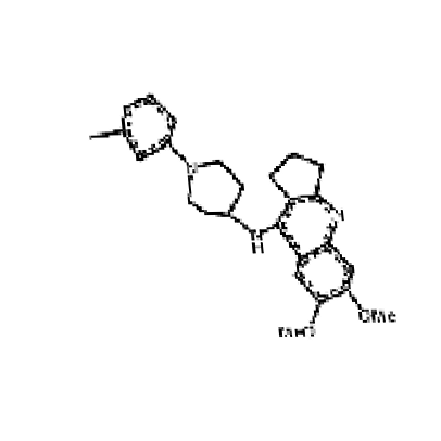 COc1cc2nc3c(c(NC4CCN(c5cccc(C)c5)CC4)c2cc1OC)CCC3